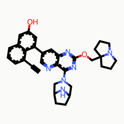 C#Cc1cccc2cc(O)cc(-c3cnc4c(N5CC6CCC(C5)N6)nc(OCC56CCCN5CCC6)nc4c3)c12